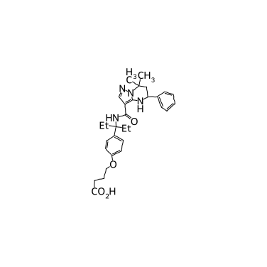 CCC(CC)(NC(=O)c1cnn2c1NC(c1ccccc1)CC2(C)C)c1ccc(OCCCC(=O)O)cc1